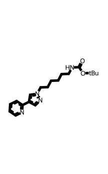 CC(C)(C)OC(=O)NCCCCCCn1cc(-c2ccccn2)cn1